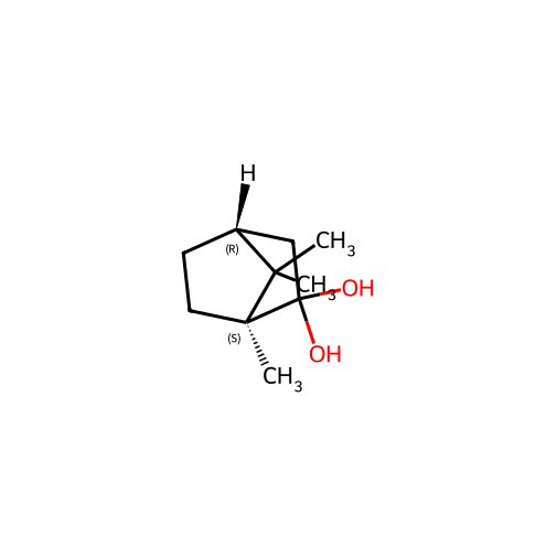 CC1(C)[C@@H]2CC[C@]1(C)C(O)(O)C2